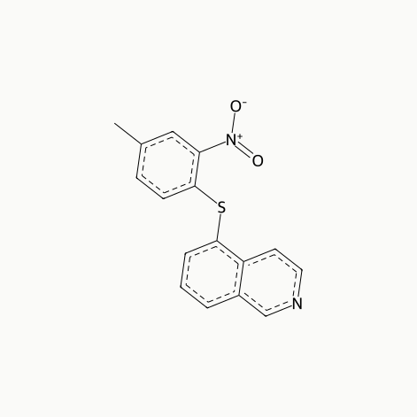 Cc1ccc(Sc2cccc3cnccc23)c([N+](=O)[O-])c1